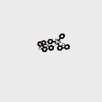 c1ccc(-c2nc(-c3cccc([Si](c4ccccc4)(c4ccccc4)c4cccc5oc6ccccc6c45)c3)nc(-c3cccc4c3oc3ccccc34)n2)cc1